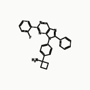 NC1(c2ccc(-n3c(-c4ccccc4)nc4cnc(-c5ccccc5F)nc43)cc2)CCC1